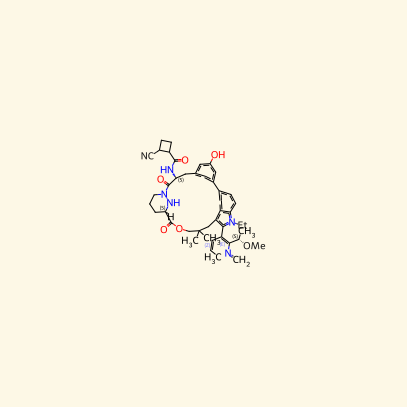 C=N/C(=C(\C=C/C)c1c2c3cc(ccc3n1CC)-c1cc(O)cc(c1)C[C@H](NC(=O)C1CCC1C#N)C(=O)N1CCC[C@H](N1)C(=O)OCC(C)(C)C2)[C@H](C)OC